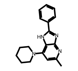 Cc1cc(N2CCCCC2)c2[nH]c(-c3ccccc3)nc2n1